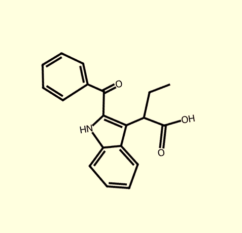 CCC(C(=O)O)c1c(C(=O)c2ccccc2)[nH]c2ccccc12